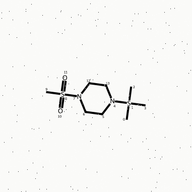 CS(C)(C)N1CCN(S(C)(=O)=O)CC1